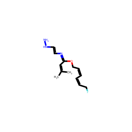 CC(C)=C/C(=N\C=C\NN)OC/C=C\C=C/CF